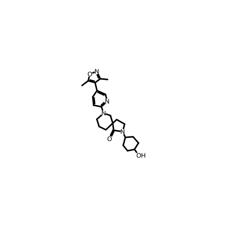 Cc1noc(C)c1-c1ccc(N2CCCC3(CCN(C4CCC(O)CC4)C3=O)C2)nc1